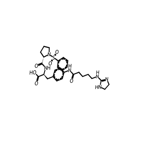 O=C(CCCCNC1=NCCN1)Nc1ccc(C[C@H](NC(=O)[C@@H]2CCCN2S(=O)(=O)c2ccccc2)C(=O)O)cc1